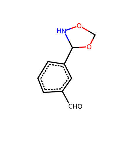 O=Cc1cccc(C2NOCO2)c1